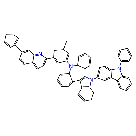 CC1C=C(N2c3ccccc3-c3c4c(n(-c5ccc6c(c5)c5ccccc5n6-c5ccccc5)c3C3C=CC=CC32)CCC=C4)C=C(c2ccc3ccc(-c4ccccc4)cc3n2)C1